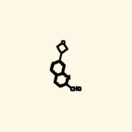 O=Cc1ccc2ccc(C3COC3)cc2n1